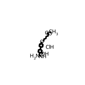 COC(=O)CCCCCOc1ccc(-c2ccc(C(=N)N)c(O)c2)cc1.Cl